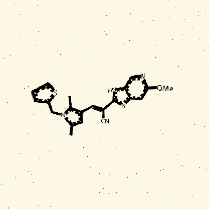 COc1cc2nc(/C(C#N)=C/c3cc(C)n(Cc4cccs4)c3C)[nH]c2cn1